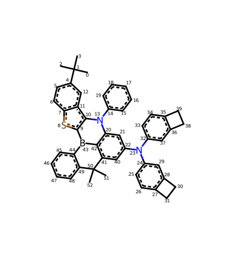 CC(C)(C)c1ccc2sc3c(c2c1)N(c1ccccc1)c1cc(N(c2ccc4c(c2)CC4)c2ccc4c(c2)CC4)cc2c1B3c1ccccc1C2(C)C